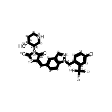 O=C1SC(=Cc2ccc3c(cnn3Cc3ccc(Cl)cc3C(F)(F)F)c2)C(=O)N1[C@@H]1CNCC[C@H]1O